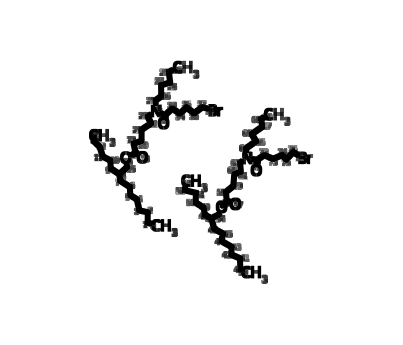 CCCCCCCCC(CCCCCC)COC(=O)CCCCCN(CCCCCC)C(=O)CCCCCBr.CCCCCCCCC(CCCCCC)COC(=O)CCCCCN(CCCCCC)C(=O)CCCCCBr